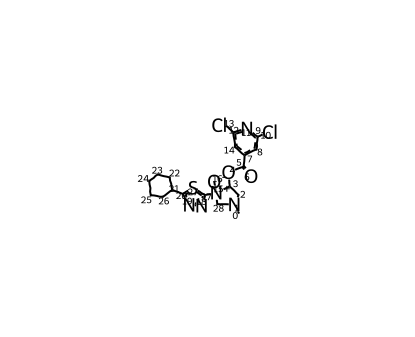 CN1CC(OC(=O)c2cc(Cl)nc(Cl)c2)[N+]([O-])(c2nnc(C3CCCCC3)s2)C1